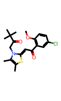 COc1ccc(Cl)cc1C(=O)/C=C1\SC(C)=C(C)N1CC(=O)C(C)(C)C